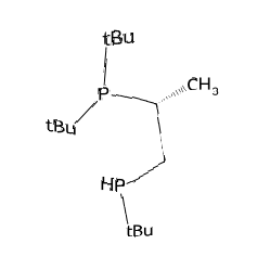 C[C@H](CPC(C)(C)C)P(C(C)(C)C)C(C)(C)C